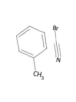 Cc1ccccc1.N#CBr